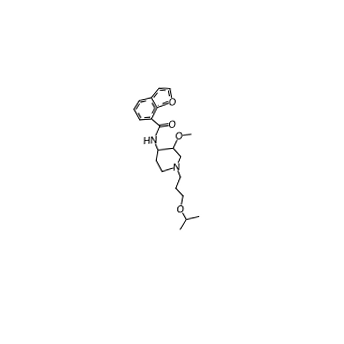 COC1CN(CCCOC(C)C)CCC1NC(=O)c1cccc2ccoc12